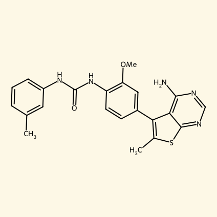 COc1cc(-c2c(C)sc3ncnc(N)c23)ccc1NC(=O)Nc1cccc(C)c1